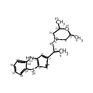 CC1CN(SC(C)c2ccc3c(c2)Nc2ccccc2S3)CC(C)O1